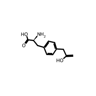 C=C(O)Cc1ccc(C[C@H](N)C(=O)O)cc1